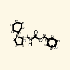 O=C(NC[C@@H]1CCCN1C1CCCCC1)OCc1ccccc1